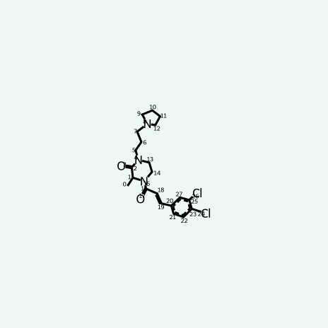 CC1C(=O)N(CCCN2CCCC2)CCN1C(=O)C=Cc1ccc(Cl)c(Cl)c1